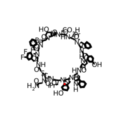 CCCC[C@H]1C(=O)N2C[C@H](O)C[C@@H]2C(=O)N[C@@H](CC(=O)O)C(=O)N[C@@H](C(C)C)C(=O)N(C)[C@@H](Cc2ccccc2)C(=O)N[C@@H](Cc2ccc(O)cc2)C(=O)N2CCC[C@@H]2C(=O)N[C@@H](Cc2c[nH]c3ccccc23)C(=O)N[C@@H](Cc2ccc(O)cc2)C(=O)N[C@@H](CC(C)C)C(=O)N[C@H](C(=O)NCC(N)=O)CSCC(=O)N[C@@H](Cc2cc(F)c(F)c(F)c2)C(=O)N(C)[C@@H](Cc2ccccc2)C(=O)N1C